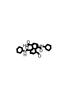 O=Cc1ccc(C(=O)NC2CCCCC2)c2c(C(=O)O)ccc(C(=O)NC3CCCCC3)c12